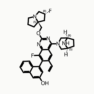 C=Cc1cc2c(N3C[C@H]4CC[C@@H](C3)N4)nc(OC[C@@]34CCCN3C[C@H](F)C4)nc2c(F)c1-c1cc(O)cc2ccccc12